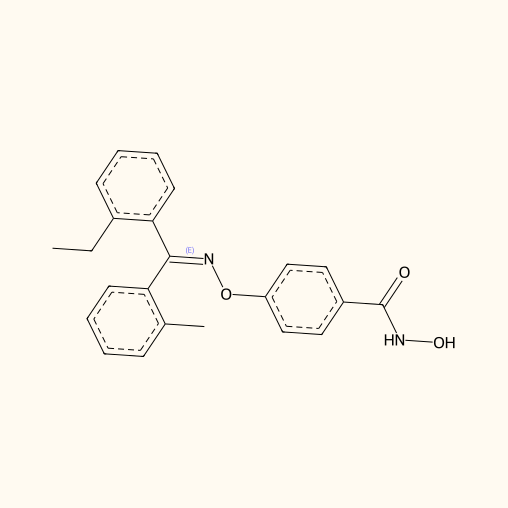 CCc1ccccc1/C(=N/Oc1ccc(C(=O)NO)cc1)c1ccccc1C